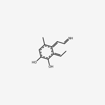 C/C=c1/c(O)c(O)cc(C)/c1=C/C=N